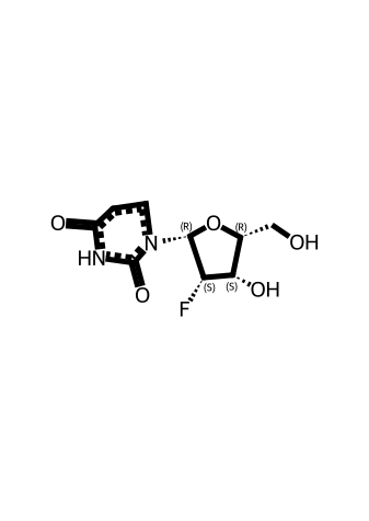 O=c1ccn([C@@H]2O[C@H](CO)[C@H](O)[C@@H]2F)c(=O)[nH]1